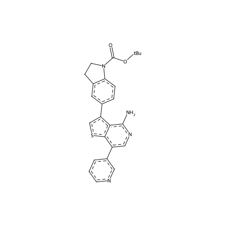 CC(C)(C)OC(=O)N1CCc2cc(-c3csc4c(-c5cccnc5)cnc(N)c34)ccc21